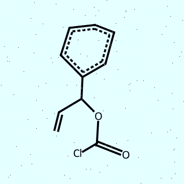 C=CC(OC(=O)Cl)c1ccccc1